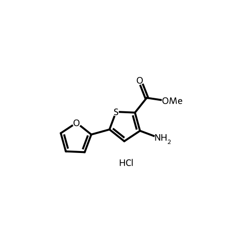 COC(=O)c1sc(-c2ccco2)cc1N.Cl